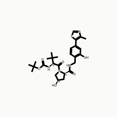 Cc1ncsc1-c1ccc(CNC(=O)[C@H]2C[C@@H](O)CN2C(=O)[C@@H](NC(=O)OC(C)(C)C)C(C)(C)C)c(O)c1